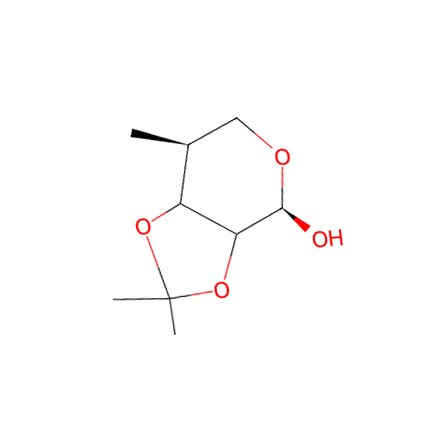 C[C@H]1CO[C@@H](O)C2OC(C)(C)OC21